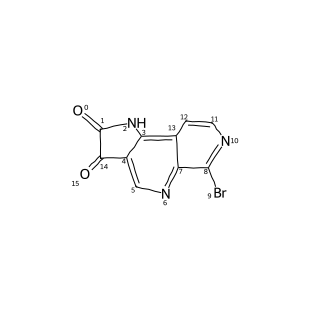 O=C1Nc2c(cnc3c(Br)nccc23)C1=O